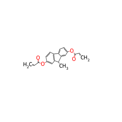 C=CC(=O)Oc1ccc2c(c1)C(C)c1cc(OC(=O)C=C)ccc1-2